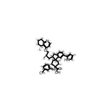 C[C@@H](COc1ccnc2c1[C@H](C)CCC2)CC1Cc2ccc(-c3ccc[nH]3)cc2C12CCC(Nc1cccc(Cl)c1)(C(=O)O)CC2